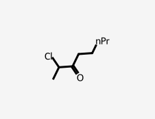 CCCCCC(=O)C(C)Cl